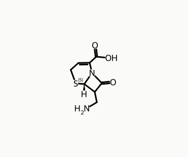 NCC1C(=O)N2C(C(=O)O)=CCS[C@@H]12